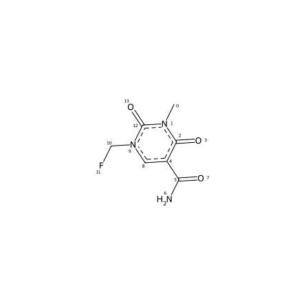 Cn1c(=O)c(C(N)=O)cn(CF)c1=O